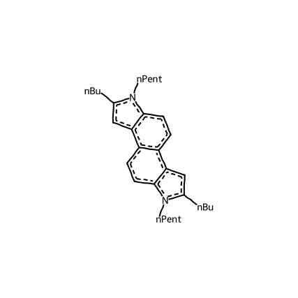 CCCCCn1c(CCCC)cc2c3ccc4c(cc(CCCC)n4CCCCC)c3ccc21